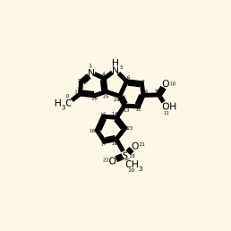 Cc1cnc2[nH]c3cc(C(=O)O)cc(-c4cccc(S(C)(=O)=O)c4)c3c2c1